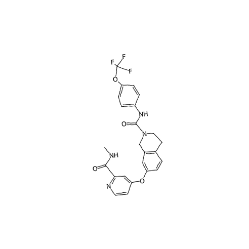 CNC(=O)c1cc(Oc2ccc3c(c2)CN(C(=O)Nc2ccc(OC(F)(F)F)cc2)CC3)ccn1